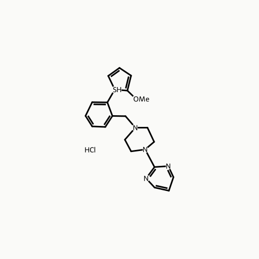 COC1=CC=C[SH]1c1ccccc1CN1CCN(c2ncccn2)CC1.Cl